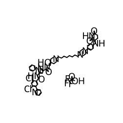 O=C(O)C(F)(F)F.O=C1CCC(Nc2ccc(N3CCN(CCCCCCCCN4CCC(O)(CNC(=O)c5cc(NC(=O)c6cc(-c7ccccn7)c(Cl)cc6Cl)n(-c6ccccc6)n5)CC4)CC3)cc2)C(=O)N1